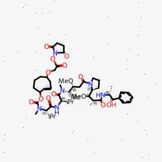 CC[C@H](C)[C@@H]([C@@H](CC(=O)N1CCC[C@H]1[C@H](OC)[C@@H](C)C(=O)N[C@H](C)[C@@H](O)c1ccccc1)OC)N(C)C(=O)[C@H](NC(=O)[C@H](C(C)C)N(C)C(=O)OC1/C=C/CC(OCC(=O)ON2C(=O)CCC2=O)CCC1)C(C)C